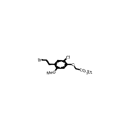 CCOC(=O)COc1cc(OC)c(CCBr)cc1Cl